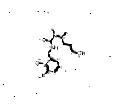 CC(CC=CO)N(C)C(=O)NCc1cccc(F)c1Cl